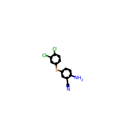 N#Cc1cc(Sc2ccc(Cl)c(Cl)c2)ccc1N